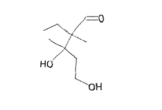 CCC(C)(C=O)C(C)(O)CCO